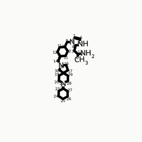 CC(N)CC1NC=CN1CC1CCC(CN2CCC3(CCN(C4CCCCC4)CC3)C2)CC1